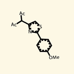 COc1ccc(-c2nc(C(C(C)=O)C(C)=O)cs2)cc1